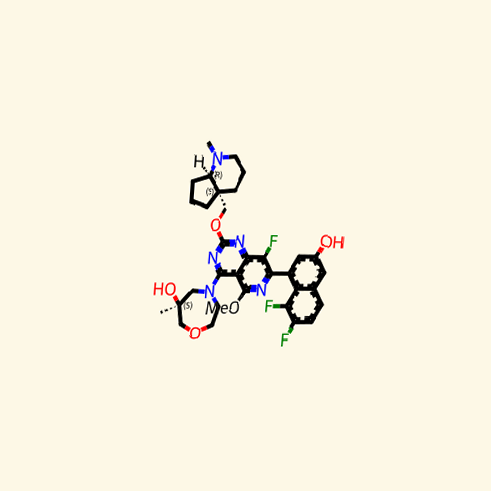 COc1nc(-c2cc(O)cc3ccc(F)c(F)c23)c(F)c2nc(OC[C@]34CCC[C@H]3N(C)CCC4)nc(N3CCOC[C@@](C)(O)C3)c12